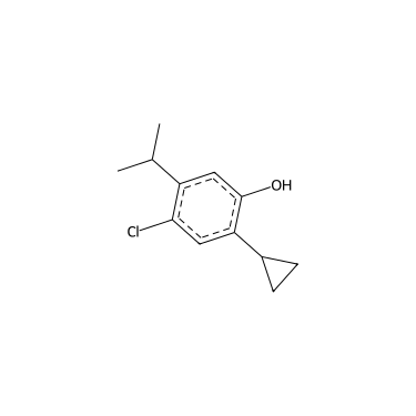 CC(C)c1cc(O)c(C2CC2)cc1Cl